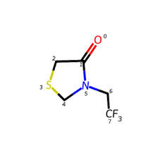 O=C1CSCN1CC(F)(F)F